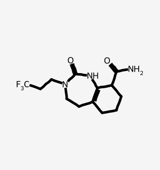 NC(=O)C1CCCC2=C1NC(=O)N(CCC(F)(F)F)CC2